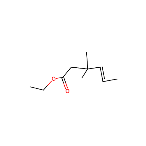 CC=CC(C)(C)CC(=O)OCC